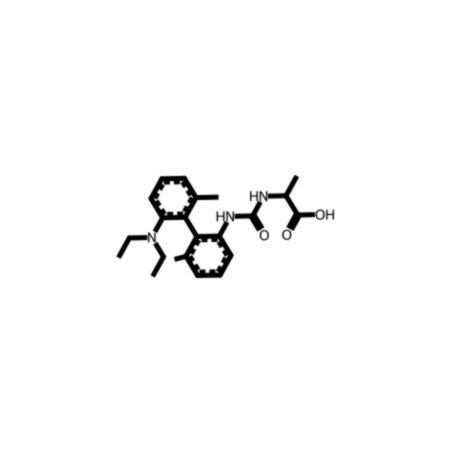 CCN(CC)c1cccc(C)c1-c1c(C)cccc1NC(=O)NC(C)C(=O)O